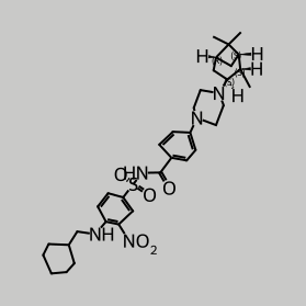 C[C@@H]1[C@@H](N2CCN(c3ccc(C(=O)NS(=O)(=O)c4ccc(NCC5CCCCC5)c([N+](=O)[O-])c4)cc3)CC2)C[C@H]2C[C@@H]1C2(C)C